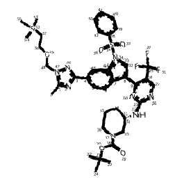 Cc1nc(-c2ccc3c(-c4nc(N[C@H]5CCCN(C(=O)OC(C)(C)C)C5)ncc4C(F)(F)F)cn(S(=O)(=O)c4ccccc4)c3c2)nn1COCC[Si](C)(C)C